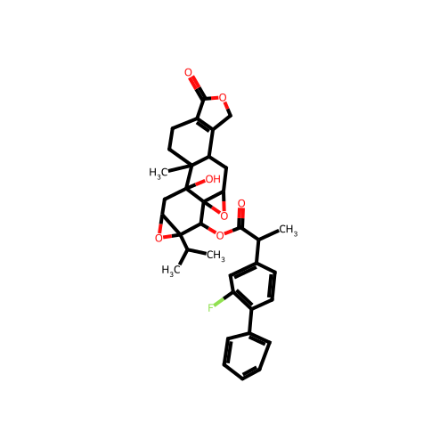 CC(C(=O)OC1C2(C(C)C)OC2CC2(O)C3(C)CCC4=C(COC4=O)C3CC3OC312)c1ccc(-c2ccccc2)c(F)c1